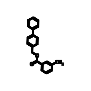 Cc1cccc(C(=O)OCc2ccc(-c3ccccc3)cc2)c1